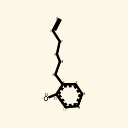 C=CCCCCc1ccccc1[O]